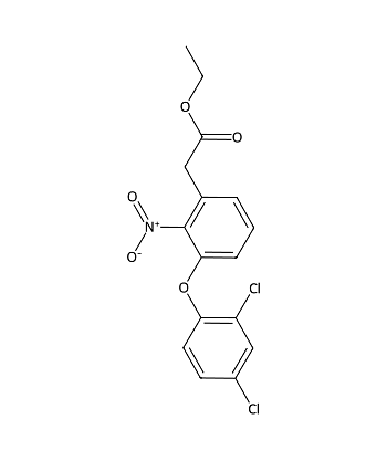 CCOC(=O)Cc1cccc(Oc2ccc(Cl)cc2Cl)c1[N+](=O)[O-]